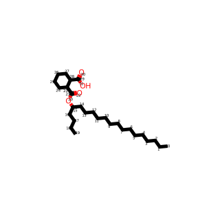 CCCCCCCCCCCCCCCC(CCCC)OC(=O)C1CCCCC1C(=O)O